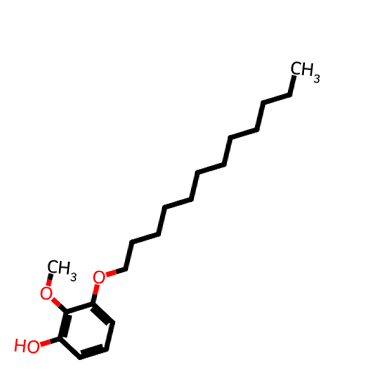 CCCCCCCCCCCCOc1cccc(O)c1OC